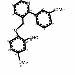 COc1cccc(-c2ncccc2COc2cnc(OC)cc2C=O)c1